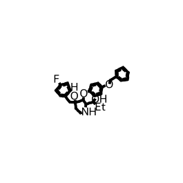 CCC(O)C1NCCC(O)(Cc2ccc(F)cc2)C1Oc1ccc(OCc2ccccc2)cc1